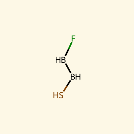 FBBS